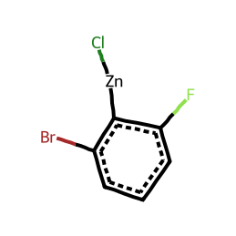 Fc1cccc(Br)[c]1[Zn][Cl]